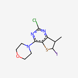 CC1c2nc(Cl)nc(N3CCOCC3)c2SC1I